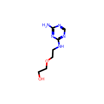 Nc1ncnc(NCCOCCO)n1